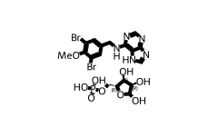 COc1c(Br)cc(CNc2ncnc3nc[nH]c23)cc1Br.O=P(O)(O)OC[C@H]1OC(O)[C@H](O)[C@@H]1O